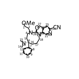 COCCN1CC[C@@](c2ccccc2)(N(C)C)CCCN(c2cnc(C#N)cc2C)C1=O